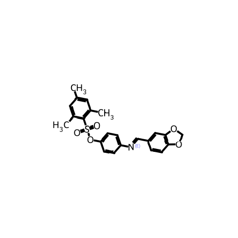 Cc1cc(C)c(S(=O)(=O)Oc2ccc(/N=C/c3ccc4c(c3)OCO4)cc2)c(C)c1